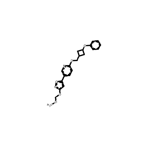 COCOc1cc(-c2ccc(OCC3CC(Oc4ccccc4)C3)nc2)on1